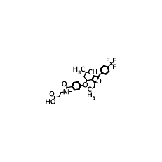 CCc1oc(-c2ccc(C(F)(F)F)cc2)cc1C(CC(C)C)Oc1ccc(C(=O)NCCC(=O)O)cc1